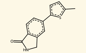 Cc1ccc(-c2ccc3c(c2)CNC3=O)s1